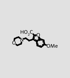 COc1ccc2c(CCN3CCOCC3)c(C(=O)O)oc2c1